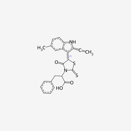 C=C=c1[nH]c2ccc(C)cc2/c1=C1/SC(=S)N(C(Cc2ccccc2)C(=O)O)C1=O